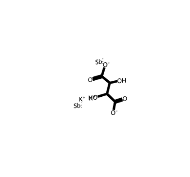 O=C([O-])C(O)C(O)C(=O)[O-].[K+].[K+].[Sb].[Sb]